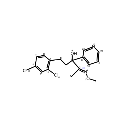 CO/N=C(\C)C(O)(CCc1ccc(Cl)cc1Cl)c1cccnc1